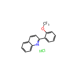 Cl.FC(F)(F)Oc1ccccc1-c1ccc2ccccc2n1